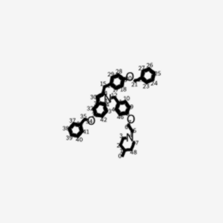 CC1CCN(CCOc2ccc(Cn3c(Cc4ccc(OCc5ccccc5)cc4)cc4cc(OCc5ccccc5)ccc43)cc2)CC1